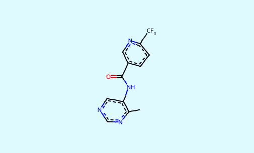 Cc1ncncc1NC(=O)c1ccc(C(F)(F)F)nc1